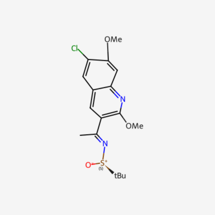 COc1cc2nc(OC)c(C(C)=N[S@+]([O-])C(C)(C)C)cc2cc1Cl